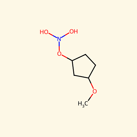 COC1CCC(ON(O)O)C1